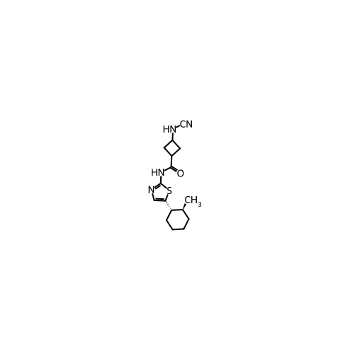 C[C@H]1CCCC[C@@H]1c1cnc(NC(=O)C2CC(NC#N)C2)s1